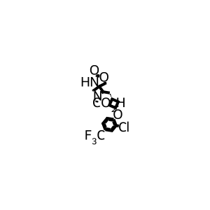 O=C1NC2(CO1)CN(C(=O)O)C2C[C@H]1C[C@@H](Oc2ccc(C(F)(F)F)cc2Cl)C1